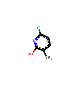 Oc1nc(Cl)ccc1C(F)(F)F